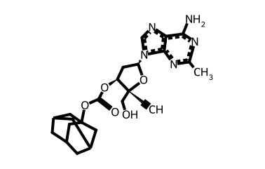 C#C[C@]1(CO)O[C@@H](n2cnc3c(N)nc(C)nc32)C[C@@H]1OC(=O)OC12CC3CC(CC(C3)C1)C2